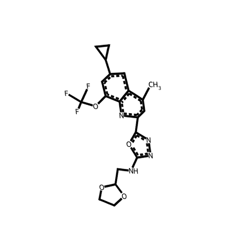 Cc1cc(-c2nnc(NCC3OCCO3)o2)nc2c(OC(F)(F)F)cc(C3CC3)cc12